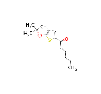 CCCCCC(=O)c1ccc(OC(C)(C)C)s1